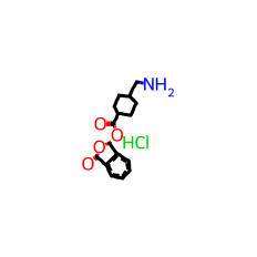 Cl.NCC1CCC(C(=O)OC2OC(=O)c3ccccc32)CC1